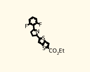 CCOC(=O)c1cc2sc(C3CCC(c4c(F)cccc4F)=N3)cc2s1